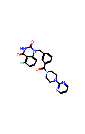 O=C(c1cccc(Cn2c(=O)[nH]c(=O)c3c(F)cccc32)c1)N1CCN(c2ncccn2)CC1